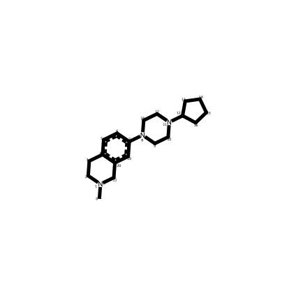 CN1CCc2ccc(N3CCN(C4CCCC4)CC3)cc2C1